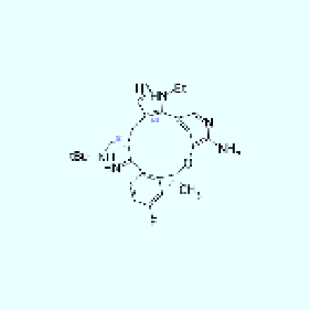 CCN/C1=C(\C=N)C/C(=C/NC(C)(C)C)C(=N)c2ccc(F)cc2[C@@H](C)Oc2cc1cnc2N